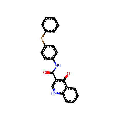 O=C(Nc1ccc(Sc2ccccc2)cc1)c1c[nH]c2ccccc2c1=O